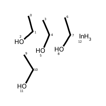 CCO.CCO.CCO.CCO.[InH3]